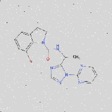 CC(NC(=O)N1CCc2cccc(Br)c21)c1ncnn1-c1ncccn1